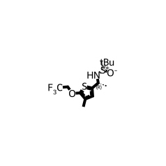 Cc1cc([C@@H](C)N[S@@+]([O-])C(C)(C)C)sc1OCC(F)(F)F